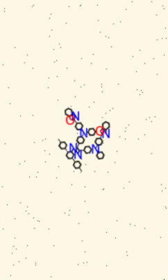 Cc1ccc(-c2ccc(-c3ccc(C)cc3)c3nc(-c4ccc(N(c5ccccc5)c5ccc(-c6nc7ccccc7o6)cc5)cc4)c(-c4ccc(N(c5ccccc5)c5ccc(-c6nc7ccccc7o6)cc5)cc4)nc23)cc1